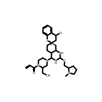 C=CC(=O)N1CCN(C2NC(OCC3CCCN3C)NC3C[C@]4(CCC32)CC(Cl)c2ccccc2S4)CC1CC#N